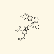 COc1cc(C(=O)O)n2nc(C[C@H](OC3CCCC3)[C@H](O)c3cc(OC)c(C)cc3C)cc2c1